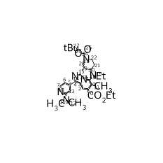 CCOC(=O)c1cc2c(-c3ccnc(N(C)C)c3)ncn2c(N(CC)C2CCN(C(=O)OC(C)(C)C)CC2)c1C